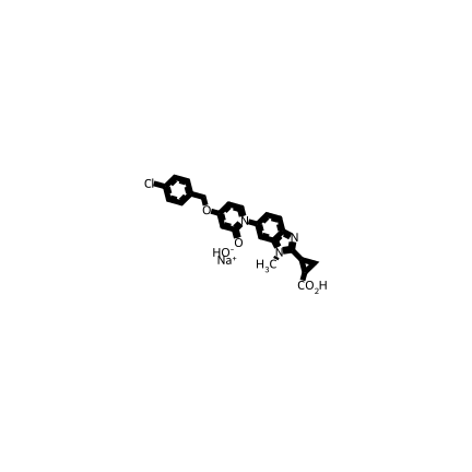 Cn1c(C2CC2C(=O)O)nc2ccc(-n3ccc(OCc4ccc(Cl)cc4)cc3=O)cc21.[Na+].[OH-]